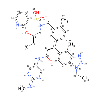 CC[C@@H]1CN(Cc2cc([C@H](CC(=O)Nc3cnc(NC)nc3)c3ccc4c(nnn4CC)c3C)ccc2C)S(O)(O)c2cccnc2O1